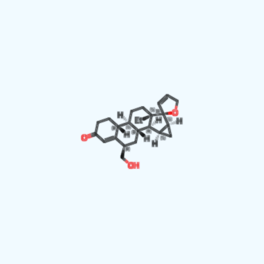 CC[C@]12CC[C@H]3[C@@H](C[C@@H](CO)C4=CC(=O)CC[C@@H]43)[C@@H]1[C@@H]1C[C@@H]1[C@@]21C=CCO1